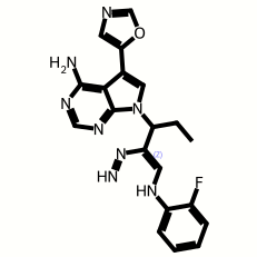 CCC(/C(=C/Nc1ccccc1F)N=N)n1cc(-c2cnco2)c2c(N)ncnc21